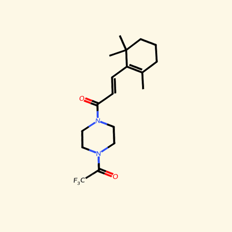 CC1=C(/C=C/C(=O)N2CCN(C(=O)C(F)(F)F)CC2)C(C)(C)CCC1